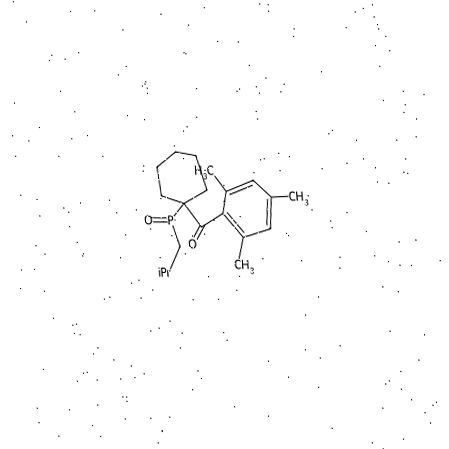 Cc1cc(C)c(C(=O)C2([P](=O)CC(C)C)CCCCC2)c(C)c1